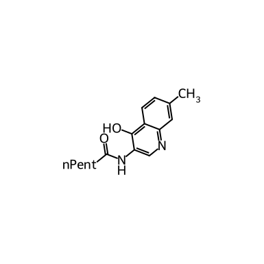 CCCCCC(=O)Nc1cnc2cc(C)ccc2c1O